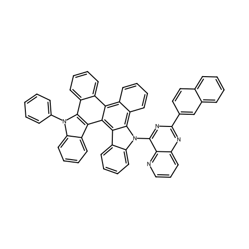 c1ccc(-n2c3ccccc3c3c4c(c5ccccc5c32)c2ccccc2c2c4c3ccccc3n2-c2nc(-c3ccc4ccccc4c3)nc3cccnc23)cc1